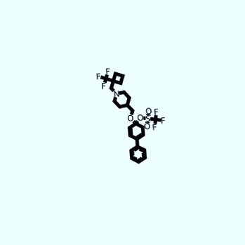 O=S(=O)(OC1(OCC2CCN(CC3(C(F)(F)F)CCC3)CC2)C=CC(c2ccccc2)=CC1)C(F)(F)F